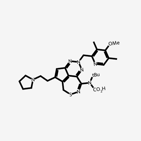 COc1c(C)cnc(Cn2nc3cc(CCN4CCCC4)c4c-3c(n2)C(N(C(=O)O)C(C)(C)C)=NSC4)c1C